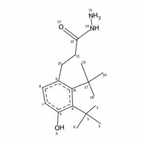 CC(C)(C)c1c(O)ccc(CCC(=O)NN)c1C(C)(C)C